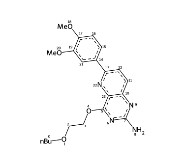 CCCCOCCOc1nc(N)nc2ccc(-c3ccc(OC)c(OC)c3)nc12